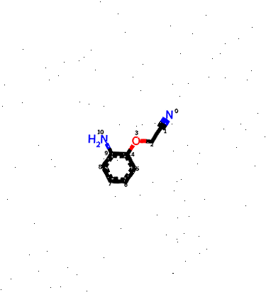 N#CCOc1ccccc1N